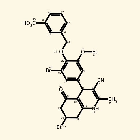 CCOc1cc(C2C(C#N)=C(C)NC3=C2C(=O)CC(CC)C3)cc(Br)c1OCc1cccc(C(=O)O)c1